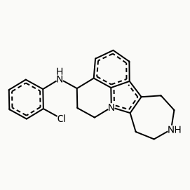 Clc1ccccc1NC1CCn2c3c(c4cccc1c42)CCNCC3